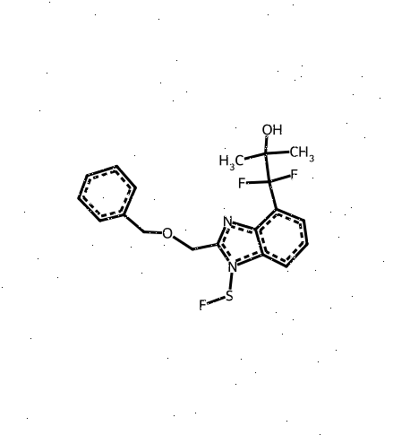 CC(C)(O)C(F)(F)c1cccc2c1nc(COCc1ccccc1)n2SF